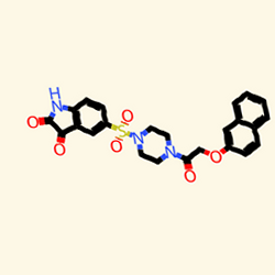 O=C1Nc2ccc(S(=O)(=O)N3CCN(C(=O)COc4ccc5ccccc5c4)CC3)cc2C1=O